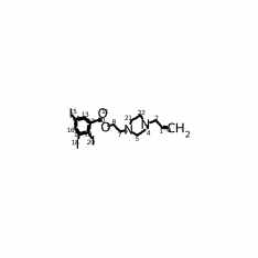 C=CCN1CCN(CCOC(=O)c2cc(I)cc(I)c2I)CC1